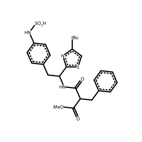 COC(=O)C(Cc1ccccc1)C(=O)NC(Cc1ccc(NS(=O)(=O)O)cc1)c1nc(C(C)(C)C)cs1